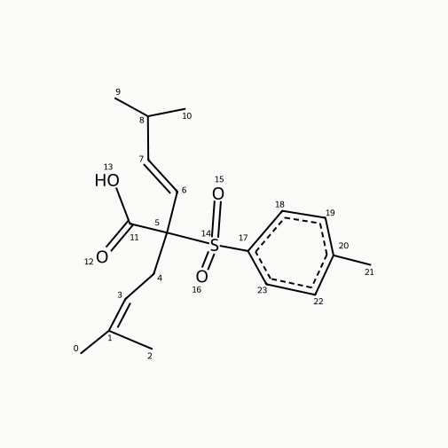 CC(C)=CCC(C=CC(C)C)(C(=O)O)S(=O)(=O)c1ccc(C)cc1